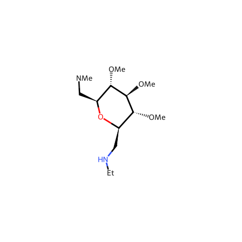 CCNC[C@H]1O[C@@H](CNC)[C@H](OC)[C@@H](OC)[C@@H]1OC